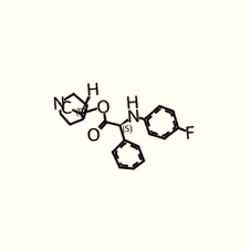 O=C(O[C@H]1CN2CCC1CC2)[C@@H](Nc1ccc(F)cc1)c1ccccc1